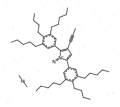 CC#CC1=C(c2cc(CCCCC)c(CCCC)c(CCCCC)c2)[N+](=[N-])C(c2cc(CCCCC)c(CCCC)c(CCCCC)c2)=C1.[CH3][Ni][CH3]